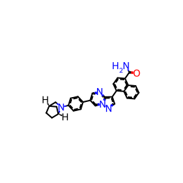 NC(=O)c1ccc(-c2cnn3cc(-c4ccc(N5C[C@H]6CC[C@@H]5C6)cc4)cnc23)c2ccccc12